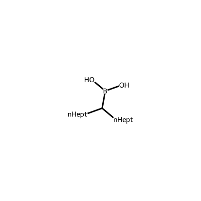 CCCCCCCC(CCCCCCC)B(O)O